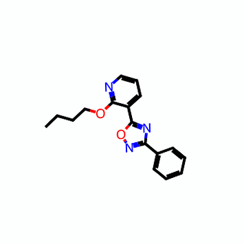 CCCCOc1ncccc1-c1nc(-c2ccccc2)no1